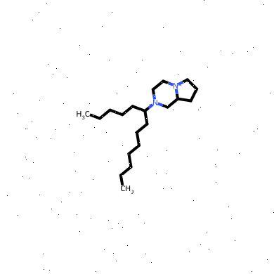 CCCCCCCC(CCCCC)N1CCN2CCCC2C1